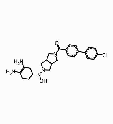 NC1=C(N)C[C@H](N(O)N2CC3CN(C(=O)c4ccc(-c5ccc(Cl)cc5)cc4)CC3C2)CC1